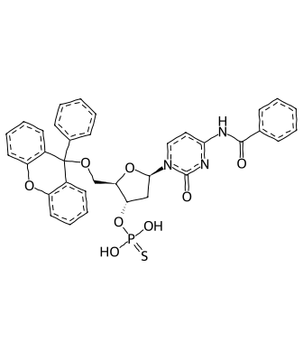 O=C(Nc1ccn([C@H]2C[C@H](OP(O)(O)=S)[C@@H](COC3(c4ccccc4)c4ccccc4Oc4ccccc43)O2)c(=O)n1)c1ccccc1